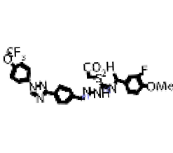 COc1ccc(C(C)/N=C(/N/N=C/c2ccc(-c3ncn(-c4ccc(OC(F)(F)F)cc4)n3)cc2)SCC(=O)O)cc1F